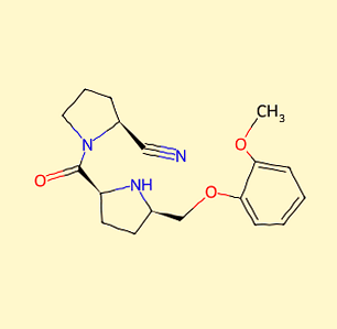 COc1ccccc1OC[C@H]1CC[C@@H](C(=O)N2CCC[C@H]2C#N)N1